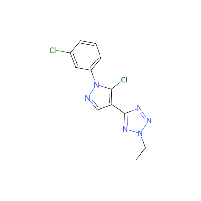 CCn1nnc(-c2cnn(-c3cccc(Cl)c3)c2Cl)n1